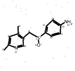 Cc1cc(C)c(C[S+]([O-])c2ccc(N)cc2)cn1